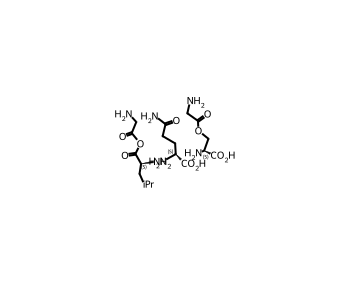 CC(C)C[C@H](N)C(=O)OC(=O)CN.NC(=O)CC[C@H](N)C(=O)O.NCC(=O)OC[C@H](N)C(=O)O